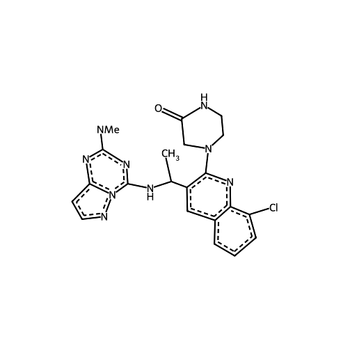 CNc1nc(NC(C)c2cc3cccc(Cl)c3nc2N2CCNC(=O)C2)n2nccc2n1